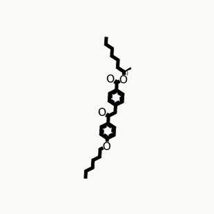 CCCCCCOc1ccc(C(=O)Cc2ccc(C(=O)O[C@H](C)CCCCCC)cc2)cc1